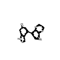 FC(F)(F)c1cc(-c2c[nH]c3nccnc23)c2cn[nH]c2c1